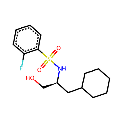 O=S(=O)(N[C@H](CO)CC1CCCCC1)c1ccccc1F